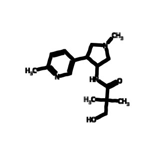 Cc1ccc(C2CN(C)CC2NC(=O)C(C)(C)CO)cn1